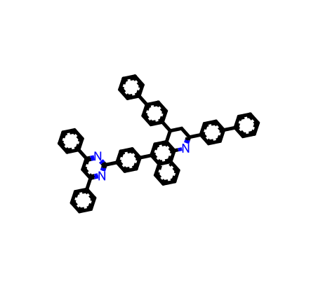 c1ccc(-c2ccc(C3=Nc4c(cc(-c5ccc(-c6nc(-c7ccccc7)cc(-c7ccccc7)n6)cc5)c5ccccc45)C(c4ccc(-c5ccccc5)cc4)C3)cc2)cc1